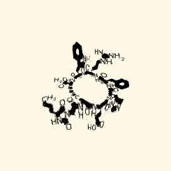 CCCC[C@@H]1NC(=O)N(CC(=O)N[C@H]2CSSC[C@@H](C(C)=O)NC(=O)[C@H](Cc3c[nH]c4ccccc34)NC(=O)[C@H](CCCNC(=N)N)NC(=O)[C@@H](Cc3ccccc3)NC(=O)[C@H](Cc3cnc[nH]3)NC(=O)[C@H](CCC(=O)O)NC2=O)C1=O